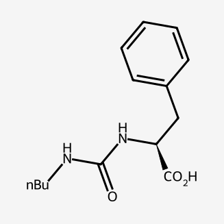 CCCCNC(=O)N[C@@H](Cc1ccccc1)C(=O)O